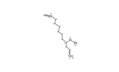 C=CCC(CCCCCCCCCCCCC)OCC